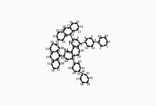 c1ccc(-c2ccc(-c3cc(-c4c5ccccc5cc5ccccc45)nc4c3ccc3c(-c5ccc(-c6ccccc6)cc5)cc(-c5c6ccccc6cc6ccccc56)nc34)cc2)cc1